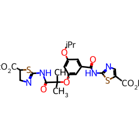 CCOC(=O)c1cnc(NC(=O)c2cc(OC(C)C)cc(OC(C)(C)C(=O)NC3=NCC(C(=O)OCC)S3)c2)s1